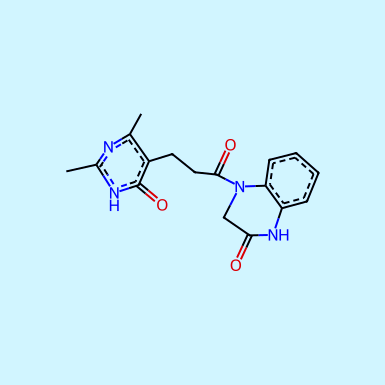 Cc1nc(C)c(CCC(=O)N2CC(=O)Nc3ccccc32)c(=O)[nH]1